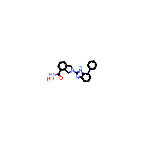 O=C(NO)c1cccc2c1CN(c1nc3cccc(-c4ccccc4)c3[nH]1)C2